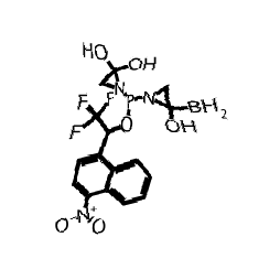 BC1(O)CN1P(OC(c1ccc([N+](=O)[O-])c2ccccc12)C(F)(F)F)N1CC1(O)O